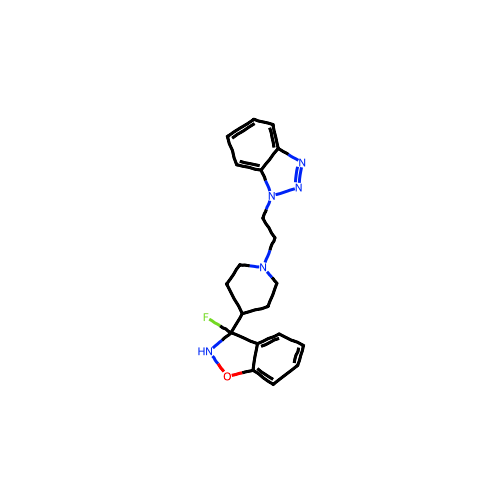 FC1(C2CCN(CCn3nnc4ccccc43)CC2)NOc2ccccc21